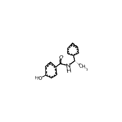 C[C@H](NC(=O)c1ccc(O)cc1)c1ccccc1